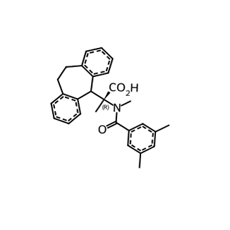 Cc1cc(C)cc(C(=O)N(C)[C@@](C)(C(=O)O)C2c3ccccc3CCc3ccccc32)c1